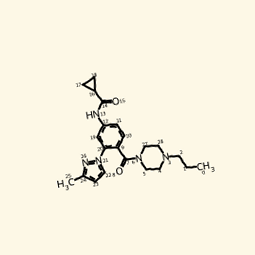 CCCN1CCN(C(=O)c2ccc(NC(=O)C3CC3)cc2-n2ccc(C)n2)CC1